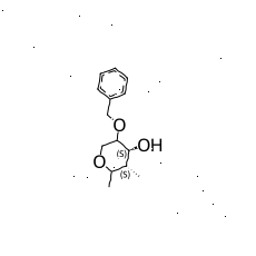 CC1OCC(OCc2ccccc2)[C@@H](O)[C@@H]1C